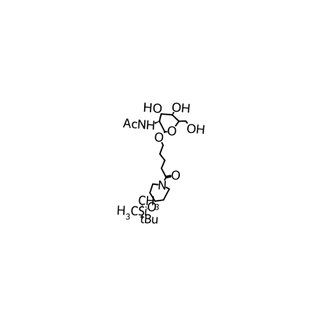 CC(=O)N[C@H]1C(O)[C@@H](O)C(CO)O[C@H]1OCCCCC(=O)N1CCC(O[Si](C)(C)C(C)(C)C)CC1